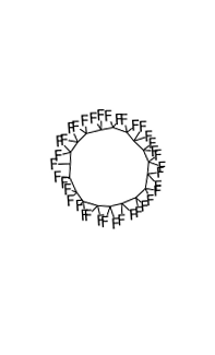 FC1C(F)(F)C(F)(F)C(F)(F)C(F)(F)C(F)(F)C(F)(F)C(F)(F)C(F)(F)C(F)(F)C(F)(F)C(F)(F)C(F)(F)C(F)(F)C(F)(F)C(F)(F)C(F)(F)C(F)(F)C1(F)F